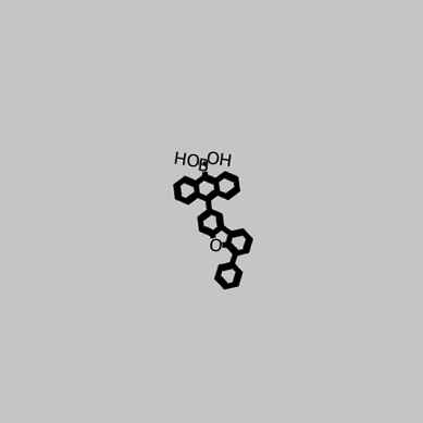 OB(O)c1c2ccccc2c(-c2ccc3oc4c(-c5ccccc5)cccc4c3c2)c2ccccc12